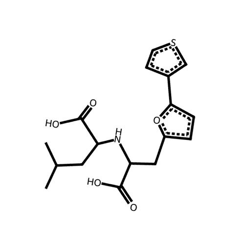 CC(C)CC(NC(Cc1ccc(-c2ccsc2)o1)C(=O)O)C(=O)O